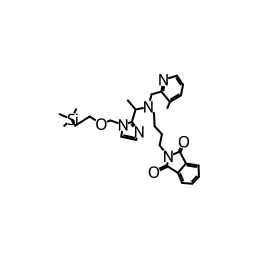 Cc1cccnc1CN(CCCCN1C(=O)c2ccccc2C1=O)C(C)c1nccn1COCC[Si](C)(C)C